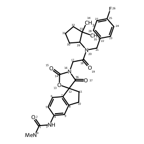 CNC(=O)Nc1ccc2c(c1)CCC21OC(=O)N(CC(=O)N(Cc2ccc(F)cc2)C2CCCC2(C)C)C1=O